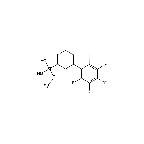 CO[Si](O)(O)C1CCCC(c2c(F)c(F)c(F)c(F)c2F)C1